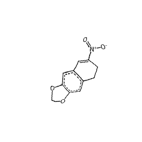 O=[N+]([O-])C1=Cc2cc3c(cc2CC1)OCO3